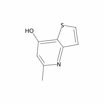 Cc1cc(O)c2sccc2n1